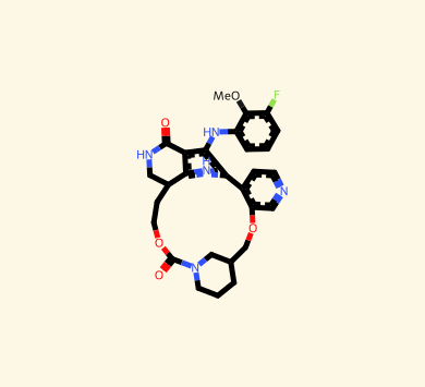 COc1c(F)cccc1Nc1c2[nH]c3c1C(=O)NCC3CCOC(=O)N1CCCC(COc3cnccc3-2)C1